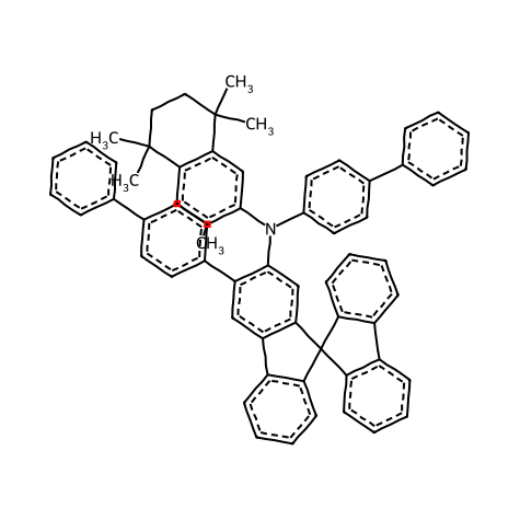 Cc1cc2c(cc1N(c1ccc(-c3ccccc3)cc1)c1cc3c(cc1-c1ccc(-c4ccccc4)cc1)-c1ccccc1C31c3ccccc3-c3ccccc31)C(C)(C)CCC2(C)C